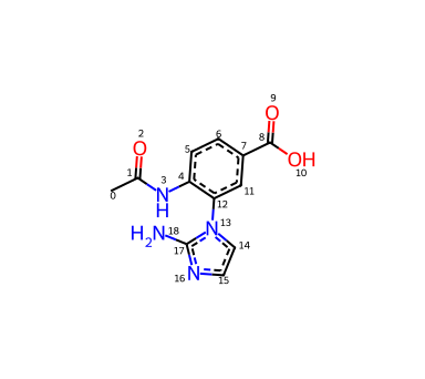 CC(=O)Nc1ccc(C(=O)O)cc1-n1ccnc1N